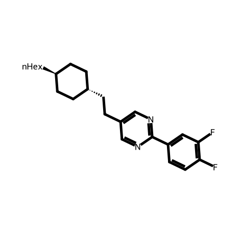 CCCCCC[C@H]1CC[C@H](CCc2cnc(-c3ccc(F)c(F)c3)nc2)CC1